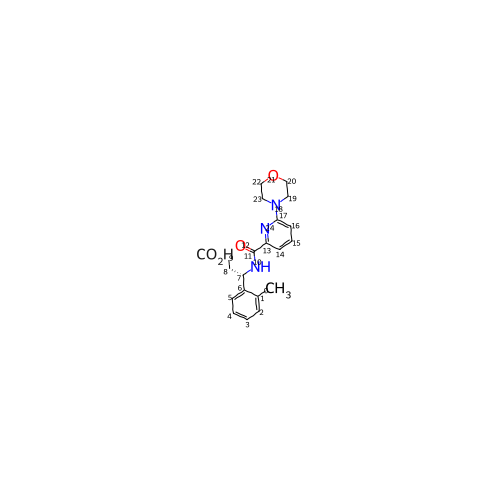 Cc1ccccc1[C@H](CC(=O)O)NC(=O)c1cccc(N2CCOCC2)n1